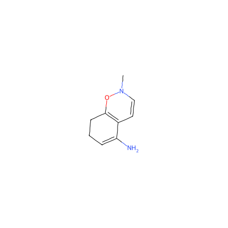 CN1C=CC2=C(CCC=C2N)O1